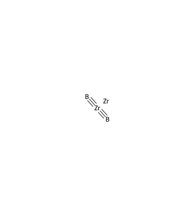 [B]#[Zr]#[B].[Zr]